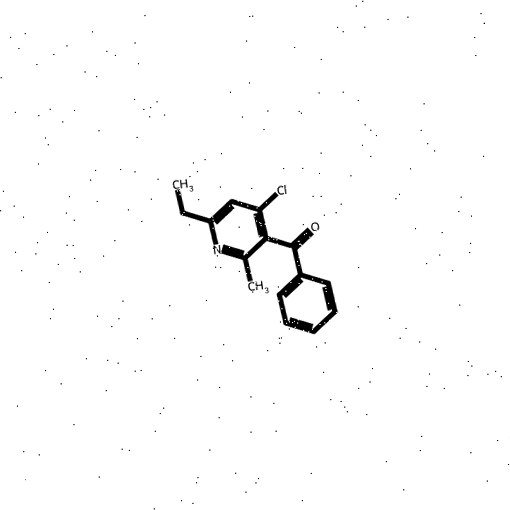 CCc1cc(Cl)c(C(=O)c2ccccc2)c(C)n1